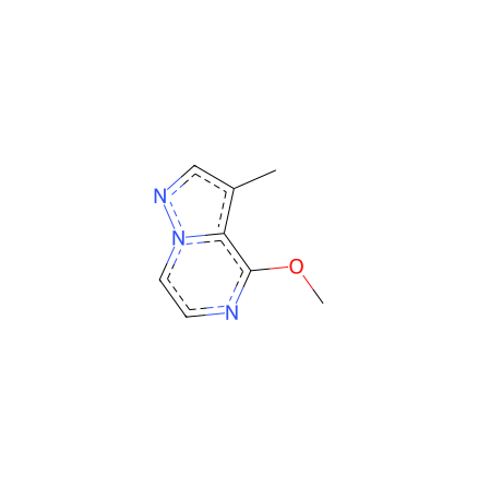 COc1nccn2ncc(C)c12